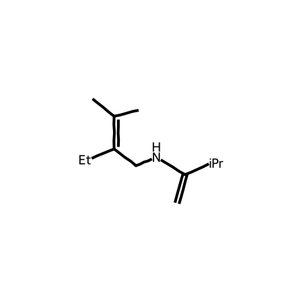 C=C(NCC(CC)=C(C)C)C(C)C